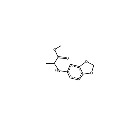 COC(=O)C(C)Nc1ccc2c(c1)OCO2